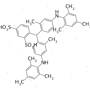 Cc1cc(C)c(Nc2ccc(C(c3ccc(Nc4c(C)cc(C)cc4C)cc3C)c3ccc(S(=O)(=O)O)cc3S(=O)(=O)O)c(C)c2)c(C)c1